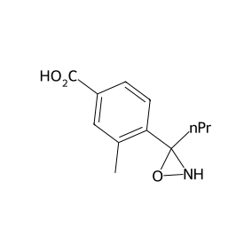 CCCC1(c2ccc(C(=O)O)cc2C)NO1